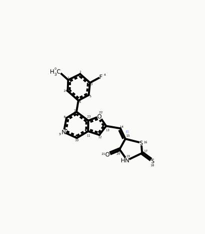 Cc1cc(F)cc(-c2cncc3cc(/C=C4/SC(=S)NC4=O)oc23)c1